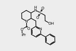 CC(C)OC(=O)N1CCCC(NS(=O)(=O)CCO)C1Cc1cccc(-c2ccccc2)n1